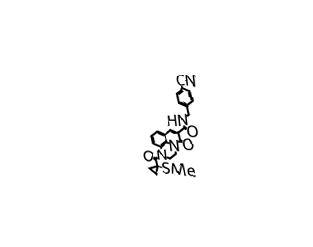 CSC1(C(=O)N2CCn3c(=O)c(C(=O)NCc4ccc(C#N)cc4)cc4cccc2c43)CC1